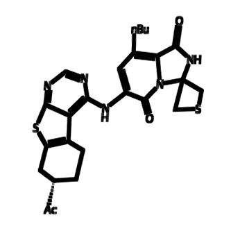 CCCCc1cc(Nc2ncnc3sc4c(c23)CC[C@H](C(C)=O)C4)c(=O)n2c1C(=O)NC21CSC1